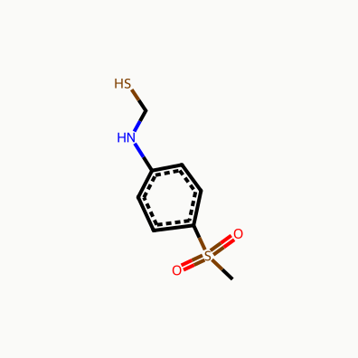 CS(=O)(=O)c1ccc(NCS)cc1